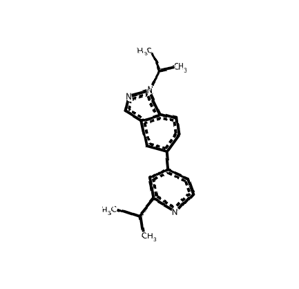 CC(C)c1cc(-c2ccc3c(cnn3C(C)C)c2)ccn1